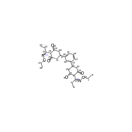 CCO/N=C(/CC)C1C(=O)CC(c2cccc(C3CC(=O)C(/C(CC)=N\OCC)C(=O)C3)c2)CC1=O